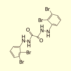 O=C(NNc1cccc(Br)c1Br)C(=O)NNc1cccc(Br)c1Br